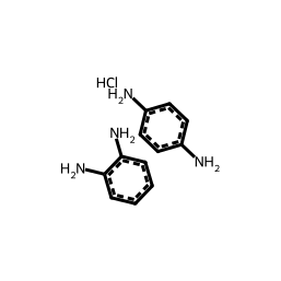 Cl.Nc1ccc(N)cc1.Nc1ccccc1N